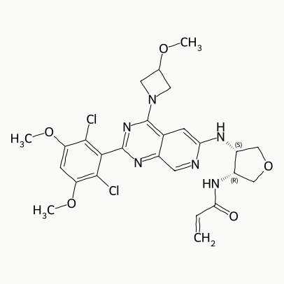 C=CC(=O)N[C@H]1COC[C@H]1Nc1cc2c(N3CC(OC)C3)nc(-c3c(Cl)c(OC)cc(OC)c3Cl)nc2cn1